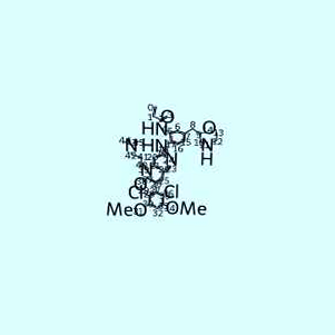 C=CC(=O)Nc1cc(CC2CNCCO2)ccc1Nc1cc2c(cn1)cc(-c1c(Cl)c(OC)cc(OC)c1Cl)c(=O)n2CCCN(C)C